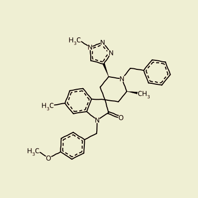 COc1ccc(CN2C(=O)C3(C[C@H](C)N(Cc4ccccc4)[C@H](c4cn(C)nn4)C3)c3ccc(C)cc32)cc1